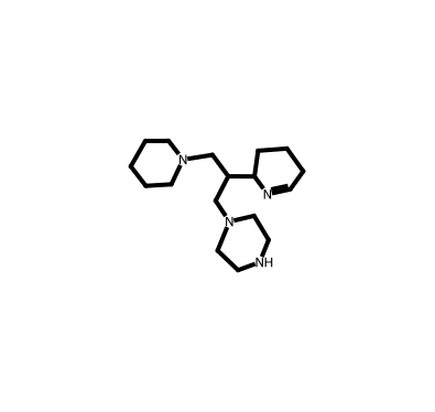 C1=NC([C](CN2CCCCC2)CN2CCNCC2)CCC1